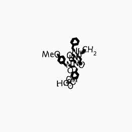 C=CCN1CC(=O)N2[C@@H](Cc3ccc(OP(=O)(O)O)cc3)C(=O)N(Cc3ccc(OC)cc3)C[C@@H]2N1C(=O)NCc1ccccc1